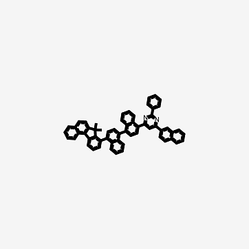 CC1(C)c2ccc3ccccc3c2-c2cccc(-c3ccc(-c4ccc(-c5cc(-c6ccc7ccccc7c6)nc(-c6ccccc6)n5)c5ccccc45)c4ccccc34)c21